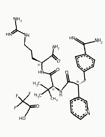 CC(C)(C)[C@H](NC(=O)[C@H](Cc1ccc(C(=N)N)cc1)c1cccnc1)C(=O)N[C@@H](CCCNC(=N)N)C(N)=O.O=C(O)C(F)(F)F